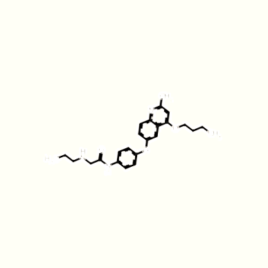 CCCCOc1cc(C)nc2ccc(Oc3ccc(NC(=O)CNCCC)cc3)cc12